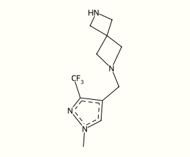 Cn1cc(CN2CC3(CNC3)C2)c(C(F)(F)F)n1